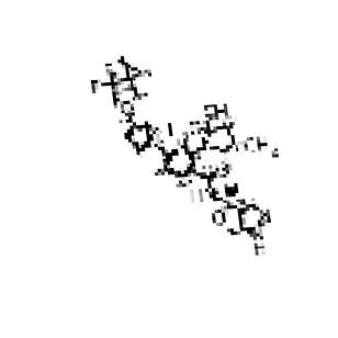 C[C@@H]1CN(c2nc(-n3ccc(OCC4(C(F)(F)F)CC4)n3)ccc2C(=O)NS(=O)(=O)c2cn[nH]c2)C(C)(C)C1